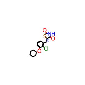 O=C1NC(=O)/C(=C/c2cccc(OC3CCCCC3)c2Cl)S1